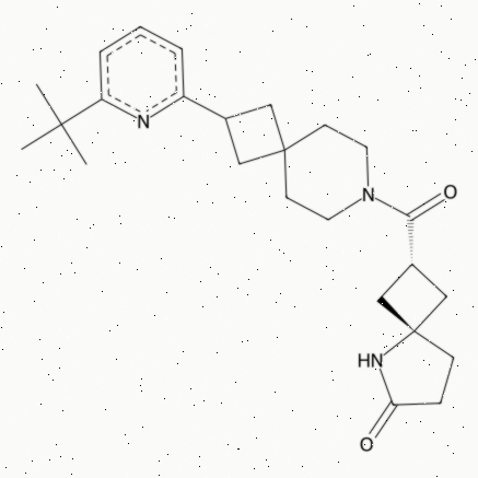 CC(C)(C)c1cccc(C2CC3(CCN(C(=O)[C@H]4C[C@]5(CCC(=O)N5)C4)CC3)C2)n1